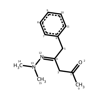 CC(=O)CC(Cc1ccccc1)=NN(C)C